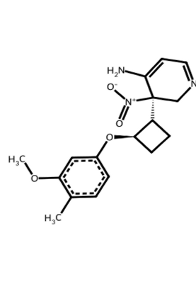 COc1cc(O[C@@H]2CCC2[C@@]2([N+](=O)[O-])CN=CC=C2N)ccc1C